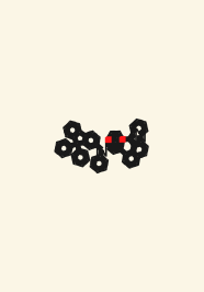 c1ccc(-c2c3c4c(-c5cccc(N(c6ccccc6)c6ccc7c(c6)C(c6ccccc6)(c6ccccc6)c6ccccc6-7)c5)cccc4ccc3n3ccccc23)cc1